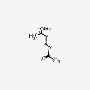 COC(C)CCOC(N)=O